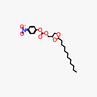 CCCCCCCCCCCC1OCC(COC(=O)Oc2ccc([N+](=O)[O-])cc2)O1